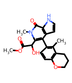 COC(=O)C(O)c1c(-c2ccc3c(c2C)CCCO3)c2cc[nH]c2c(=O)n1C